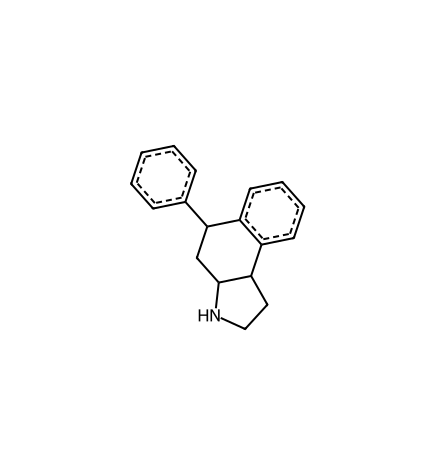 c1ccc(C2CC3NCCC3c3ccccc32)cc1